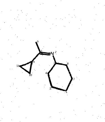 C/C(=N/C1CCCCC1)C1CC1